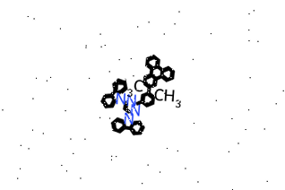 Cc1ccc(-c2nc(-n3c4ccccc4c4ccccc43)cc(-n3c4ccccc4c4ccccc43)n2)cc1-c1cc2c3ccccc3c3ccccc3c2cc1C